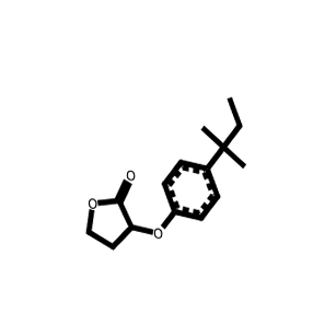 CCC(C)(C)c1ccc(OC2CCOC2=O)cc1